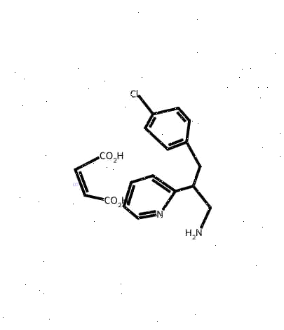 NCC(Cc1ccc(Cl)cc1)c1ccccn1.O=C(O)/C=C\C(=O)O